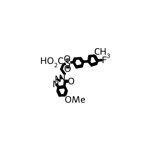 COc1ccc2nnn(CCC(C(=O)O)S(=O)(=O)c3ccc(-c4ccc(F)c(C)c4)cc3)c(=O)c2c1